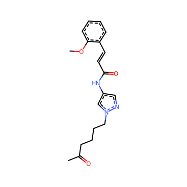 COc1ccccc1C=CC(=O)Nc1cnn(CCCCC(C)=O)c1